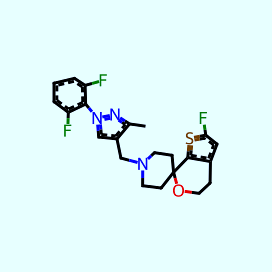 Cc1nn(-c2c(F)cccc2F)cc1CN1CCC2(CC1)OCCc1cc(F)sc12